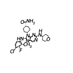 Cc1c(Nc2nc3cnc(NC4CCOCC4)nc3n2[C@H]2CC[C@@H](C(N)=O)CC2)ccc(Cl)c1F